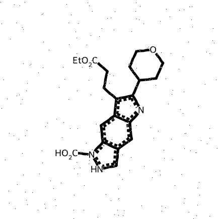 CCOC(=O)CCc1c(C2CCOCC2)nc2cc3c[nH]n(C(=O)O)c3cc12